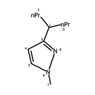 CCCC(CCC)c1ccn(C)n1